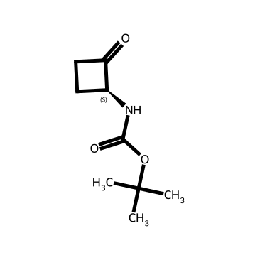 CC(C)(C)OC(=O)N[C@H]1CCC1=O